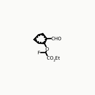 CCOC(=O)C(F)Oc1ccccc1C=O